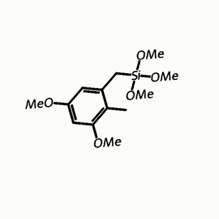 COc1cc(C[Si](OC)(OC)OC)c(C)c(OC)c1